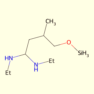 CCNC(CC(C)CO[SiH3])NCC